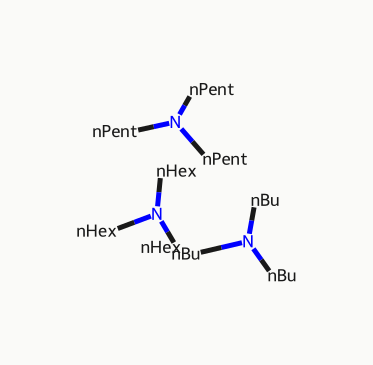 CCCCCCN(CCCCCC)CCCCCC.CCCCCN(CCCCC)CCCCC.CCCCN(CCCC)CCCC